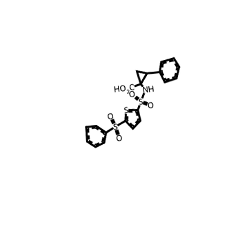 O=C(O)C1(NS(=O)(=O)c2ccc(S(=O)(=O)c3ccccc3)s2)CC1c1ccccc1